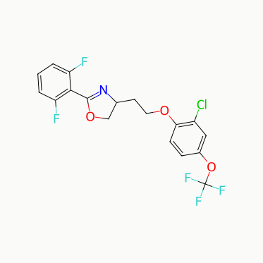 Fc1cccc(F)c1C1=NC(CCOc2ccc(OC(F)(F)F)cc2Cl)CO1